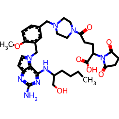 CCCCC(CO)Nc1nc(N)nc2ccn(Cc3cc(CN4CCN(C(=O)CCC(C(=O)O)N5C(=O)CCC5=O)CC4)ccc3OC)c12